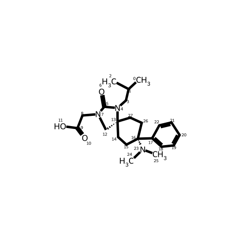 CC(C)CN1C(=O)N(CC(=O)O)C[C@]12CC[C@@](c1ccccc1)(N(C)C)CC2